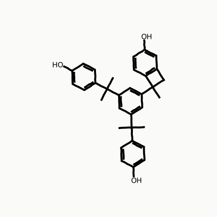 CC(C)(c1ccc(O)cc1)c1cc(C(C)(C)c2ccc(O)cc2)cc(C2(C)Cc3cc(O)ccc32)c1